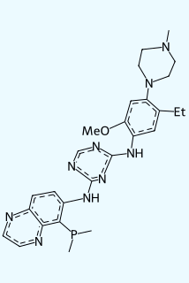 CCc1cc(Nc2ncnc(Nc3ccc4nccnc4c3P(C)C)n2)c(OC)cc1N1CCN(C)CC1